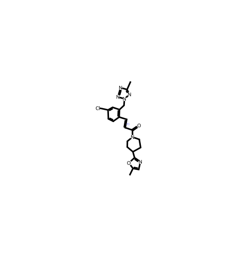 Cc1nnn(Cc2cc(Cl)ccc2/C=C/C(=O)N2CCC(c3ncc(C)o3)CC2)n1